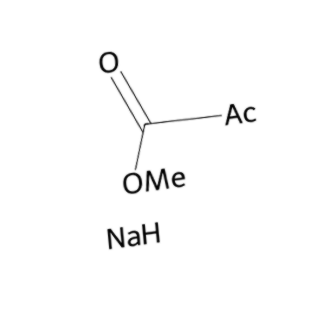 COC(=O)C(C)=O.[NaH]